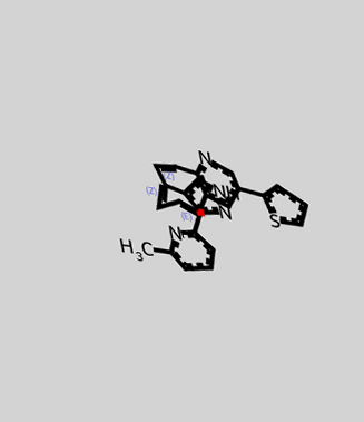 Cc1cccc(-c2n[nH]cc2C2=C\C=C\c3cc(-c4cccs4)cnc3/C=C\2)n1